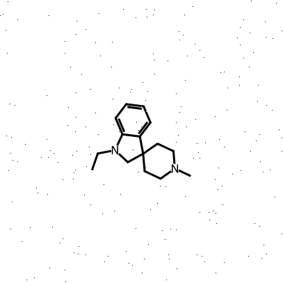 CCN1CC2(CCN(C)CC2)c2ccccc21